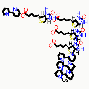 O=C([O-])CCCC[C@@H]1SC[C@@H]2NC(=O)N[C@@H]21.O=C([O-])CCCC[C@@H]1SC[C@@H]2NC(=O)N[C@@H]21.O=C([O-])CCCC[C@@H]1SC[C@@H]2NC(=O)N[C@@H]21.O=C([O-])CCCC[C@@H]1SC[C@@H]2NC(=O)N[C@@H]21.[Os+4].c1ccc(-c2ccccn2)nc1.c1ccc(-c2ccccn2)nc1.c1ccc(-c2ccccn2)nc1.c1ccc(-c2ccccn2)nc1